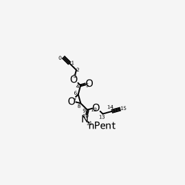 C#CCOC(=O)C1OC1C(=NCCCCC)OCC#C